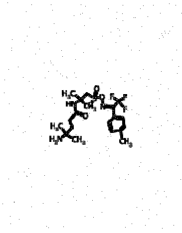 Cc1ccc(/C(=N/OS(=O)(=O)CC(C)(C)NC(=O)CCC(C)(C)N)C(F)(F)F)cc1